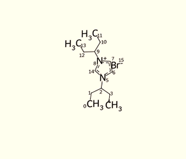 CCC(CC)n1cc[n+](C(CC)CC)c1.[Br-]